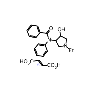 CCN1CC(O)C(N(C(=O)c2ccccc2)c2ccccc2)C1.O=C(O)/C=C/C(=O)O